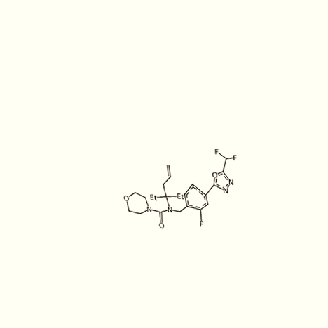 C=CCC(CC)(CC)N(Cc1ccc(-c2nnc(C(F)F)o2)cc1F)C(=O)N1CCOCC1